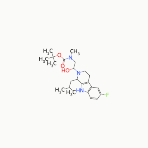 CC(C)CC1c2[nH]c3ccc(F)cc3c2CCN1C(O)CN(C)C(=O)OC(C)(C)C